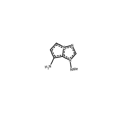 CNn1cnn2ccc(N)c12